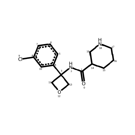 O=C(NC1(c2cccc(Cl)c2)COC1)C1CCCNC1